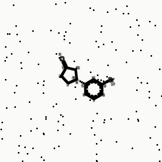 O=C1CC[C@@H](c2cccc(Br)c2)C1